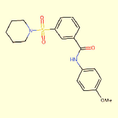 COc1ccc(NC(=O)c2cccc(S(=O)(=O)N3CCCCC3)c2)cc1